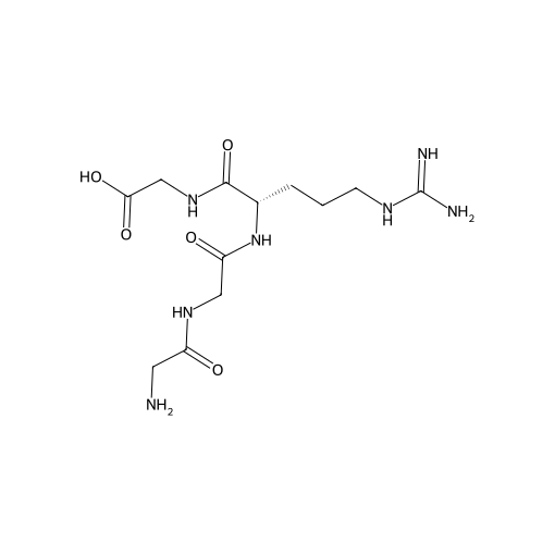 N=C(N)NCCC[C@H](NC(=O)CNC(=O)CN)C(=O)NCC(=O)O